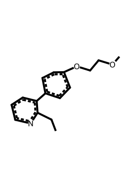 CCc1ncccc1-c1ccc(OCCOC)cc1